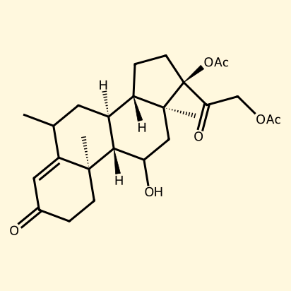 CC(=O)OCC(=O)[C@@]1(OC(C)=O)CC[C@H]2[C@@H]3CC(C)C4=CC(=O)CC[C@]4(C)[C@H]3C(O)C[C@@]21C